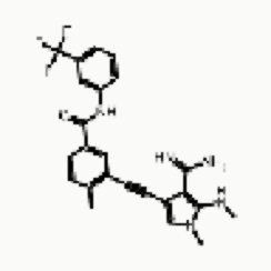 CNc1c(C(=N)N)c(C#Cc2cc(C(=O)Nc3cccc(C(F)(F)F)c3)ccc2C)cn1C